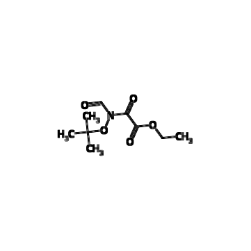 CCOC(=O)C(=O)N(C=O)OC(C)(C)C